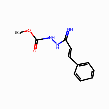 CC(C)(C)OC(=O)NNC(=N)/C=C/c1ccccc1